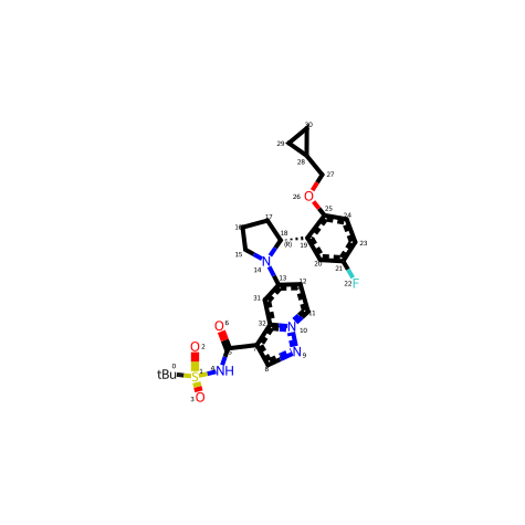 CC(C)(C)S(=O)(=O)NC(=O)c1cnn2ccc(N3CCC[C@@H]3c3cc(F)ccc3OCC3CC3)cc12